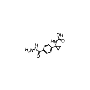 NNC(=O)c1ccc(C2(NC(=O)O)CC2)cc1